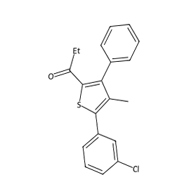 CCC(=O)c1sc(-c2cccc(Cl)c2)c(C)c1-c1ccccc1